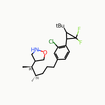 C[C@@H](CCCc1ccc(C2C(C(C)(C)C)C2(F)F)c(Cl)c1)[C@@H](C)C1CNOC1